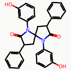 O=C1C(c2ccccc2)CC2(CC(c3ccccc3)C(=O)N2c2cccc(O)c2)N1c1cccc(O)c1